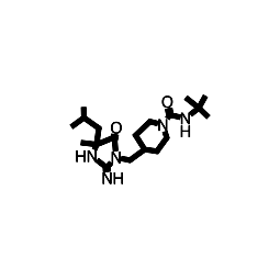 CC(C)CC1(C)NC(=N)N(CC2CCN(C(=O)NC(C)(C)C)CC2)C1=O